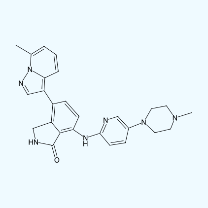 Cc1cccc2c(-c3ccc(Nc4ccc(N5CCN(C)CC5)cn4)c4c3CNC4=O)cnn12